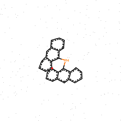 c1ccc2c(Pc3c4ccccc4cc4ccccc34)c3ccccc3cc2c1